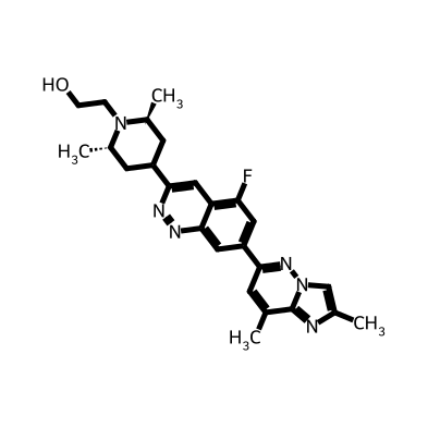 Cc1cn2nc(-c3cc(F)c4cc(C5C[C@H](C)N(CCO)[C@@H](C)C5)nnc4c3)cc(C)c2n1